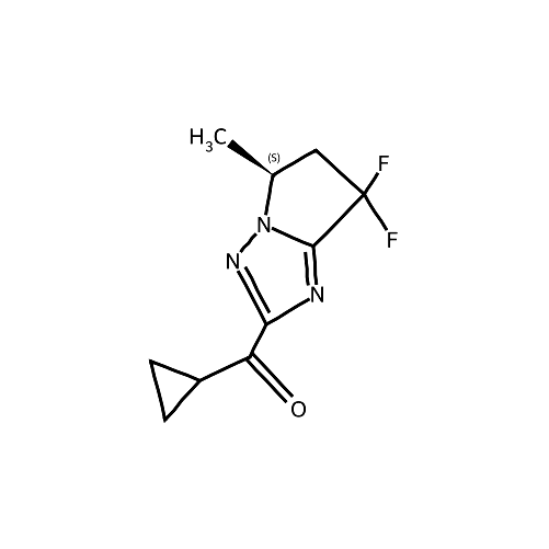 C[C@H]1CC(F)(F)c2nc(C(=O)C3CC3)nn21